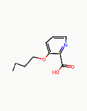 CCCCOc1cccnc1C(=O)O